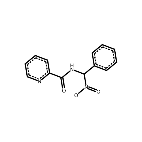 O=C(NC(c1ccccc1)[N+](=O)[O-])c1ccccn1